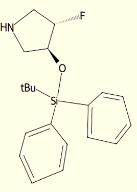 CC(C)(C)[Si](O[C@H]1CNC[C@@H]1F)(c1ccccc1)c1ccccc1